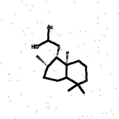 CC(=O)C(O)C[C@H]1[C@@H](C)CCC2C(C)(C)CCC[C@@]21C